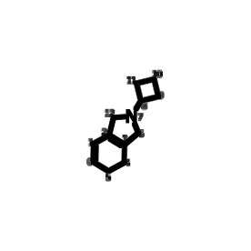 C1=CC2=C(CC1)CN(C1CCC1)C2